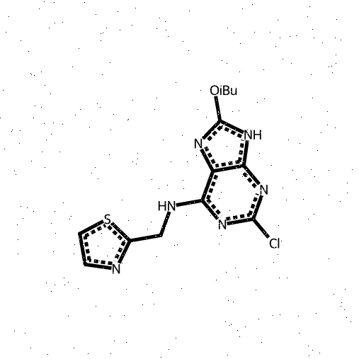 CC(C)COc1nc2c(NCc3nccs3)nc(Cl)nc2[nH]1